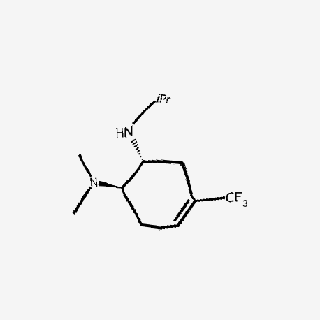 CC(C)N[C@@H]1CC(C(F)(F)F)=CC[C@H]1N(C)C